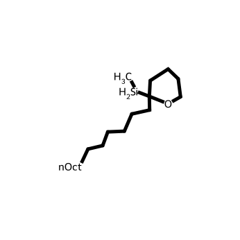 CCCCCCCCCCCCCCC1([SiH2]C)CCCCO1